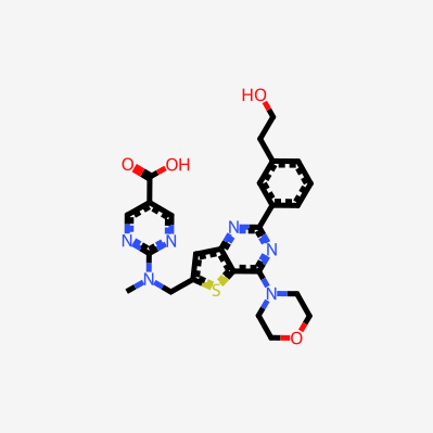 CN(Cc1cc2nc(-c3cccc(CCO)c3)nc(N3CCOCC3)c2s1)c1ncc(C(=O)O)cn1